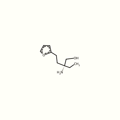 CC[C@](N)(CO)CCc1ccco1